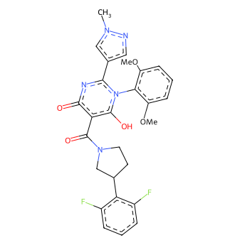 COc1cccc(OC)c1-n1c(-c2cnn(C)c2)nc(=O)c(C(=O)N2CCC(c3c(F)cccc3F)C2)c1O